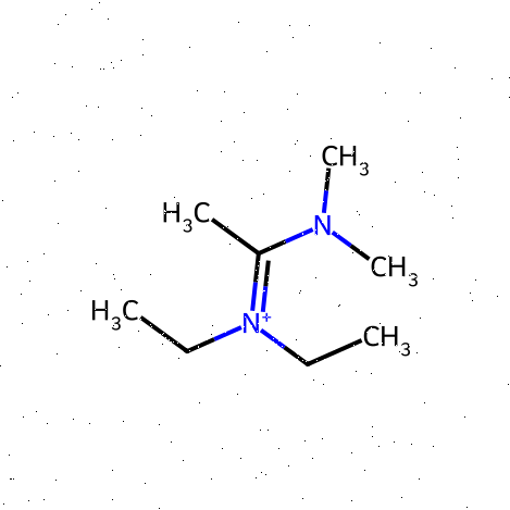 CC[N+](CC)=C(C)N(C)C